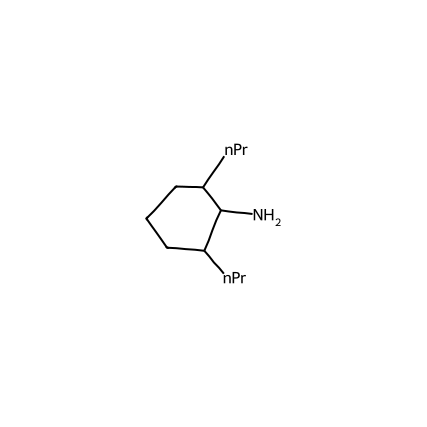 CCCC1CCCC(CCC)C1N